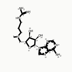 CN(CCCNC(=N)N)C[C@H]1O[C@@H](n2cnc3c(N)ncnc32)[C@H](O)[C@@H]1O